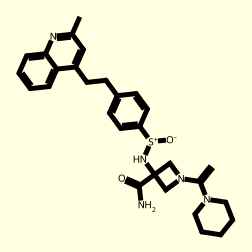 C=C(N1CCCCC1)N1CC(N[S+]([O-])c2ccc(CCc3cc(C)nc4ccccc34)cc2)(C(N)=O)C1